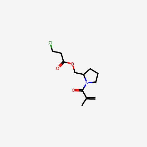 C=C(C)C(=O)N1CCCC1COC(=O)CCCl